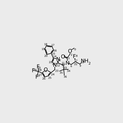 COCC(=O)N(C[C@@H](F)CN)[C@@H](c1nc(-c2ccccc2)cn1Cc1ccc(C(F)(F)F)o1)C(C)(C)C